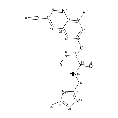 C#Cc1cnc2c(F)cc(OC(SC)C(=O)NCc3ncc(C)s3)cc2c1